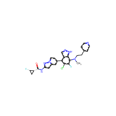 CN(CCc1ccncc1)c1c(F)c(Cl)c(-c2ccn3nc(NC(=O)[C@@H]4C[C@@H]4F)cc3c2)c2cn[nH]c12